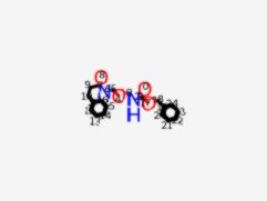 O=C(NCOCN1C(=O)CCc2ccccc21)OCc1ccccc1